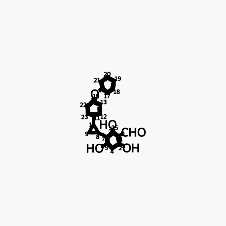 O=Cc1c(O)cc(O)c(C2CC2c2ccc(Oc3ccccc3)cc2)c1O